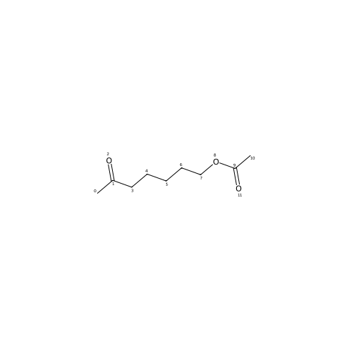 CC(=O)CCCCCOC(C)=O